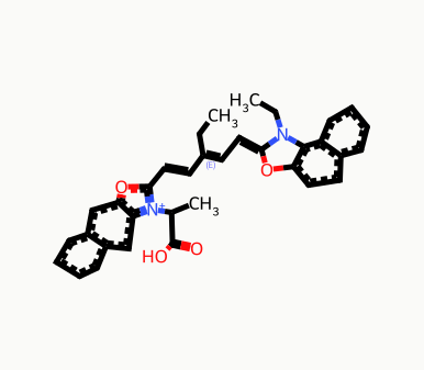 CC/C(C=Cc1oc2cc3ccccc3cc2[n+]1C(C)C(=O)O)=C\C=C1Oc2ccc3ccccc3c2N1CC